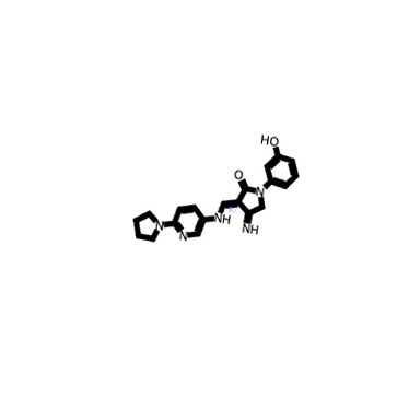 N=C1CN(c2cccc(O)c2)C(=O)/C1=C/Nc1ccc(N2CCCC2)nc1